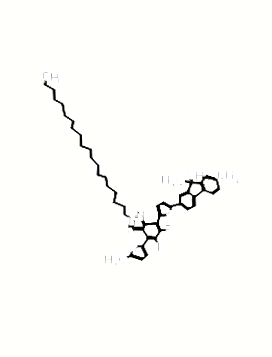 CCCCCCCCCCCCCCCCCCCCn1nc2c(-c3ccc(C)s3)c(F)c(F)c(-c3ccc(-c4ccc5c(c4)C(C)(C)c4cc(C)ccc4-5)s3)c2n1